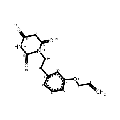 C=CCOc1cccc(CCN2C(=O)CC(=O)NC2=O)c1